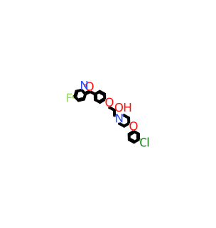 O[C@H](COc1ccc(-c2onc3cc(F)ccc23)cc1)CN1CCC(Oc2cccc(Cl)c2)CC1